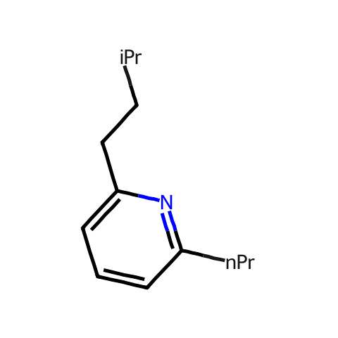 CCCc1cccc(CCC(C)C)n1